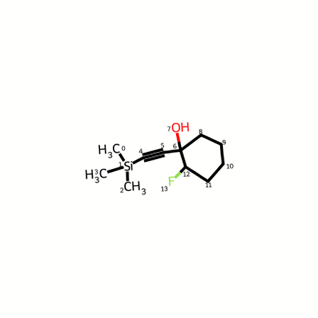 C[Si](C)(C)C#CC1(O)CCCCC1F